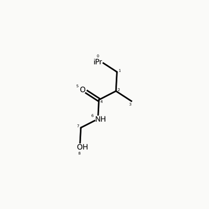 CC(C)CC(C)C(=O)NCO